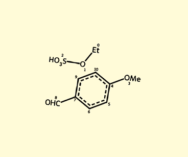 CCOS(=O)(=O)O.COc1ccc(C=O)cc1